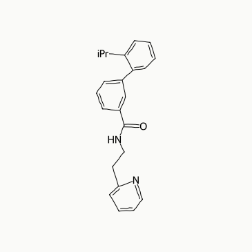 CC(C)c1ccccc1-c1cccc(C(=O)NCCc2ccccn2)c1